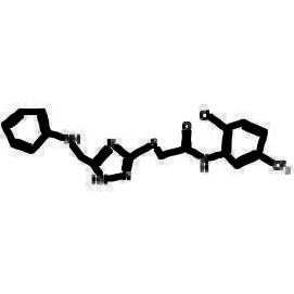 O=C(CSc1n[nH]c(CNc2ccccc2)n1)Nc1cc(C(F)(F)F)ccc1Cl